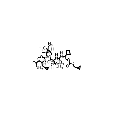 CC(C)(C)[C@H](NC(=O)N[C@H](COC(=O)OCC1CC1)C1CCC1)C(=O)N1C[C@H]2[C@@H]([C@H]1C(=O)NC(CC1CC1)C(=O)C(N)=O)C2(C)C